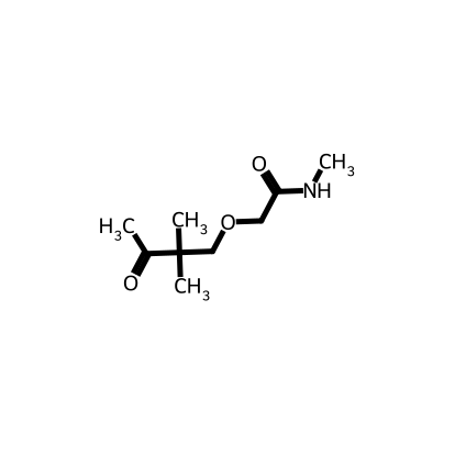 CNC(=O)COCC(C)(C)C(C)=O